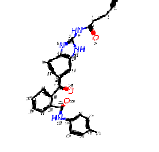 C#CCCC(=O)Nc1nc2ccc(C(=O)c3ccccc3C(=O)Nc3ccc(C)cc3)cc2[nH]1